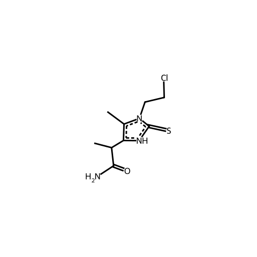 Cc1c(C(C)C(N)=O)[nH]c(=S)n1CCCl